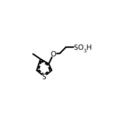 Cc1cscc1OCCS(=O)(=O)O